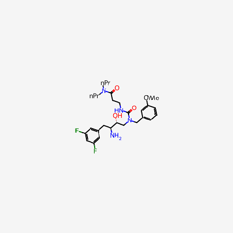 CCCN(CCC)C(=O)CCNC(=O)N(Cc1cccc(OC)c1)C[C@@H](O)[C@@H](N)Cc1cc(F)cc(F)c1